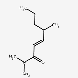 CCCC(C)/C=C/C(=O)N(C)C